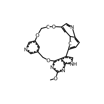 COc1nc2c3c(c[nH]c3n1)C1=CC=C3N=CC(=CC3C1)OCCOc1cncc(c1)CO2